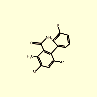 CC(=O)c1cc(Cl)c(C)c(C(N)=O)c1-c1cccc(F)c1